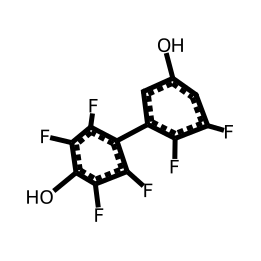 Oc1cc(F)c(F)c(-c2c(F)c(F)c(O)c(F)c2F)c1